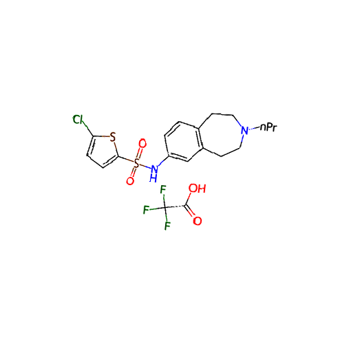 CCCN1CCc2ccc(NS(=O)(=O)c3ccc(Cl)s3)cc2CC1.O=C(O)C(F)(F)F